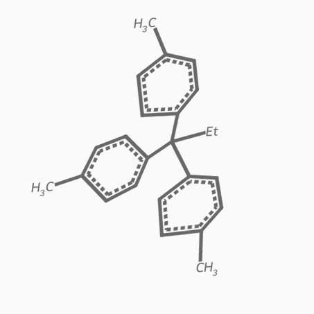 CCC(c1ccc(C)cc1)(c1ccc(C)cc1)c1ccc(C)cc1